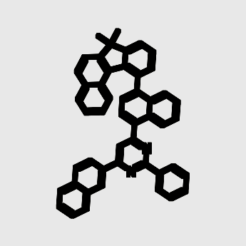 CC1(C)c2cccc(-c3ccc(-c4cc(-c5ccc6ccccc6c5)nc(-c5ccccc5)n4)c4ccccc34)c2-c2c1ccc1ccccc21